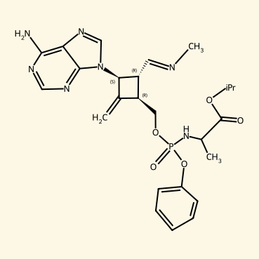 C=C1[C@@H](n2cnc3c(N)ncnc32)[C@H](C=NC)[C@H]1COP(=O)(NC(C)C(=O)OC(C)C)Oc1ccccc1